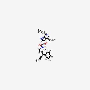 COc1ncc(OC)c2c(C(=O)C(=O)N3CCC(=C(C#CC(C)C)c4ccccc4)CC3)c[nH]c12